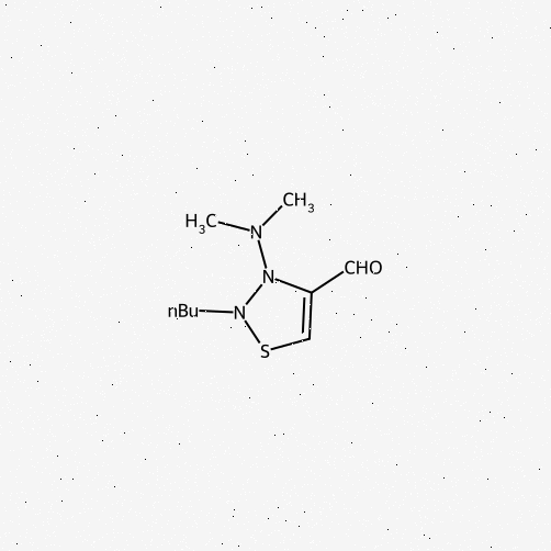 CCCCN1SC=C(C=O)N1N(C)C